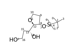 CC(C)(C)[Si](C)(C)OC1CCO[C@@H]1[C@H](O)CCO